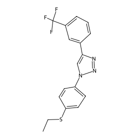 CCSc1ccc(-n2cc(-c3cccc(C(F)(F)F)c3)nn2)cc1